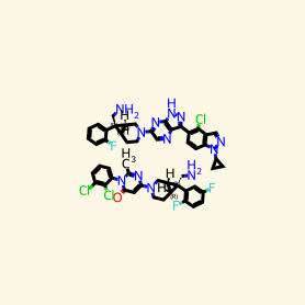 Cc1nc(N2CC[C@@H]3[C@H](C2)[C@@]3(CN)c2cc(F)ccc2F)cc(=O)n1-c1cccc(Cl)c1Cl.NC[C@]1(c2ccccc2F)[C@@H]2CCN(c3cnc4c(-c5ccc6c(cnn6C6CC6)c5Cl)n[nH]c4n3)C[C@@H]21